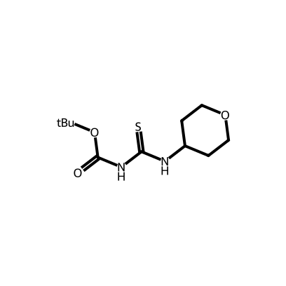 CC(C)(C)OC(=O)NC(=S)NC1CCOCC1